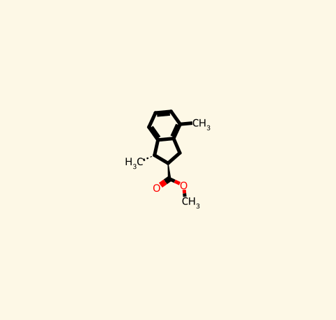 COC(=O)[C@@H]1Cc2c(C)cccc2[C@H]1C